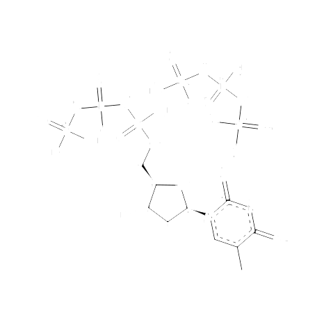 Cc1cn([C@H]2C[C@H](O)[C@@H](COP(=O)(O)OP(=O)(O)OP(=O)(O)O)O2)c(=O)[nH]c1=O.O=P(O)(O)OP(=O)(O)OP(=O)(O)O